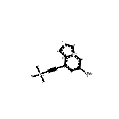 COc1cc(C#CS(C)(C)C)c2cncn2c1